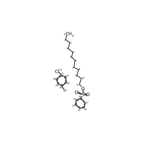 CCCCCCCCCCCCOS(=O)(=O)c1ccccc1.Clc1ccc(I)cc1